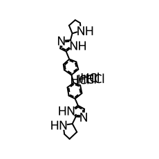 Cl.Cl.Cl.Cl.c1cc(-c2cnc(C3CCCN3)[nH]2)ccc1-c1ccc(-c2cnc(C3CCCN3)[nH]2)cc1